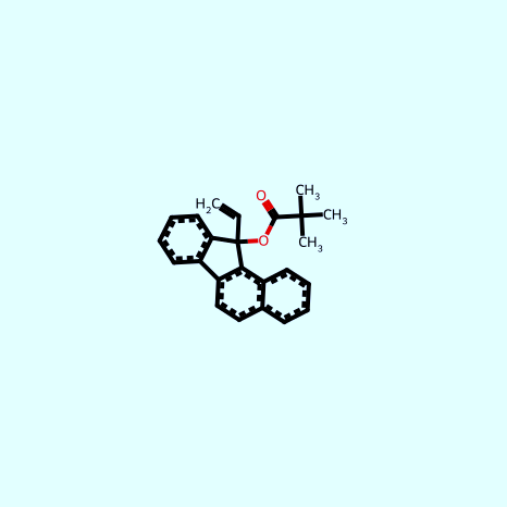 C=CC1(OC(=O)C(C)(C)C)c2ccccc2-c2ccc3ccccc3c21